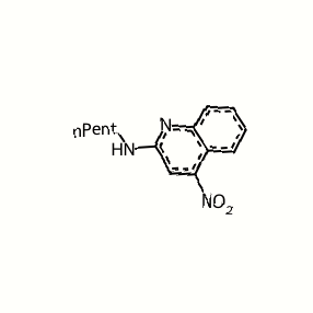 CCCCCNc1cc([N+](=O)[O-])c2ccccc2n1